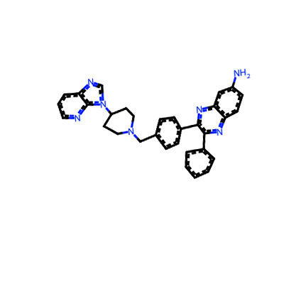 Nc1ccc2nc(-c3ccccc3)c(-c3ccc(CN4CCC(n5cnc6cccnc65)CC4)cc3)nc2c1